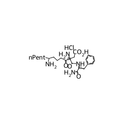 CCCCCC(N)CCCC(=O)[C@](N)(CC(=O)O)C(=O)N[C@@H](Cc1ccccc1)C(N)=O.Cl